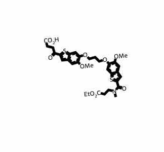 CCOC(=O)CCN(C)C(=O)c1cc2cc(OC)c(OCCCOc3cc4sc(C(=O)CCC(=O)O)cc4cc3OC)cc2s1